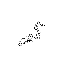 CNC(=O)c1cc(Oc2ccc(NC(=O)CC(=O)Nc3ccc(C)c(Cl)c3)cc2)ccn1